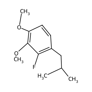 COc1ccc(CC(C)C)c(F)c1OC